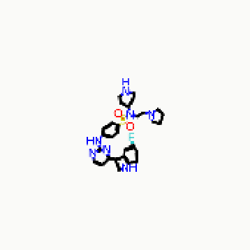 O=S(=O)(c1ccc(Nc2nccc(C3CNc4ccc(F)cc43)n2)cc1)N(CCN1CCCC1)C1CCNCC1